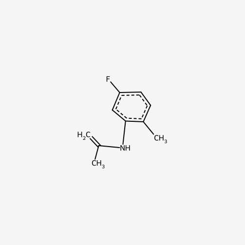 C=C(C)Nc1cc(F)ccc1C